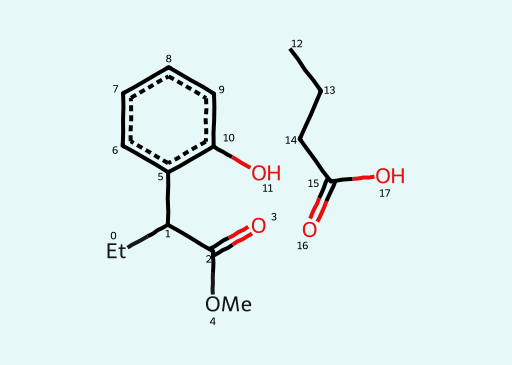 CCC(C(=O)OC)c1ccccc1O.CCCC(=O)O